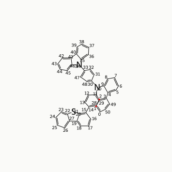 c1ccc(-c2ccccc2N(c2ccc(-c3cccc4c3sc3ccccc34)cc2)c2ccc(-n3c4ccccc4c4ccccc43)cc2)cc1